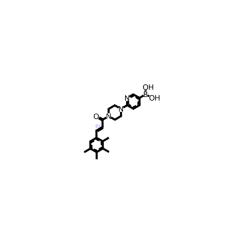 Cc1cc(/C=C/C(=O)N2CCN(c3ccc(B(O)O)cn3)CC2)c(C)c(C)c1C